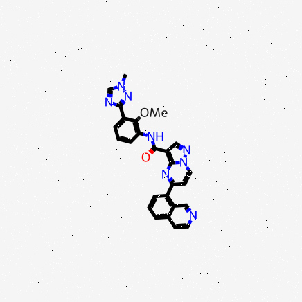 COc1c(NC(=O)c2cnn3ccc(-c4cccc5ccncc45)nc23)cccc1-c1ncn(C)n1